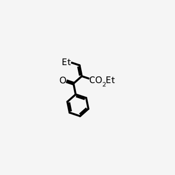 CC/C=C(/C(=O)OCC)C(=O)c1ccccc1